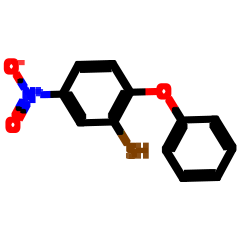 O=[N+]([O-])c1ccc(Oc2ccccc2)c(S)c1